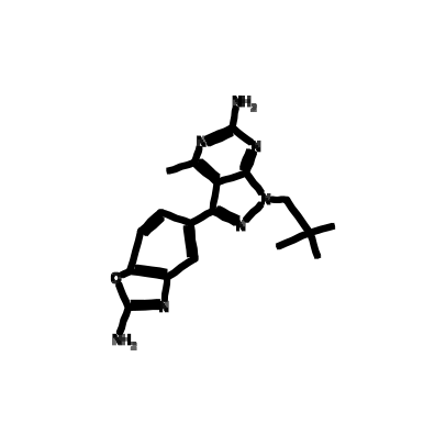 Cc1nc(N)nc2c1c(-c1ccc3oc(N)nc3c1)nn2CC(C)(C)C